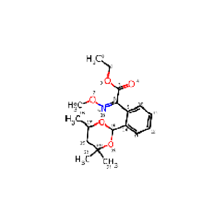 CCOC(=O)/C(=N\OC)c1ccccc1C1OC(C)CC(C)(C)O1